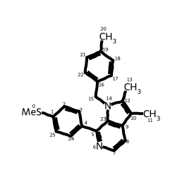 CSc1ccc(-c2nccc3c(C)c(C)n(Cc4ccc(C)cc4)c23)cc1